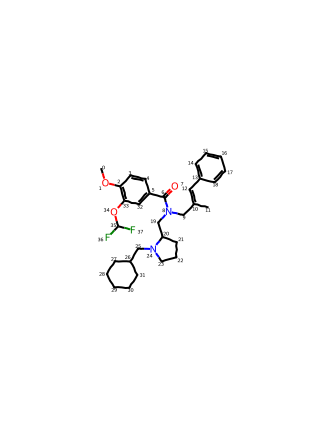 COc1ccc(C(=O)N(CC(C)=Cc2ccccc2)CC2CCCN2CC2CCCCC2)cc1OC(F)F